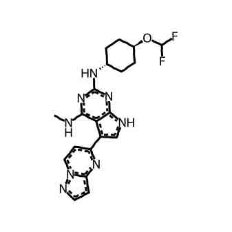 CNc1nc(N[C@H]2CC[C@H](OC(F)F)CC2)nc2[nH]cc(-c3ccn4nccc4n3)c12